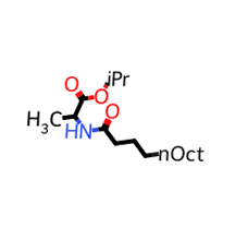 CCCCCCCCCCCC(=O)NC(C)C(=O)OC(C)C